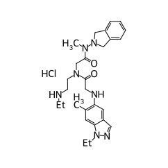 CCNCCN(CC(=O)N(C)N1Cc2ccccc2C1)C(=O)CNc1cc2cnn(CC)c2cc1C.Cl